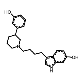 Oc1cccc(C2CCCN(CCCCc3c[nH]c4cc(O)ccc34)C2)c1